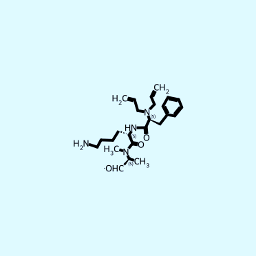 C=CCN(CC=C)[C@@H](Cc1ccccc1)C(=O)N[C@@H](CCCCN)C(=O)N(C)[C@@H](C)[C]=O